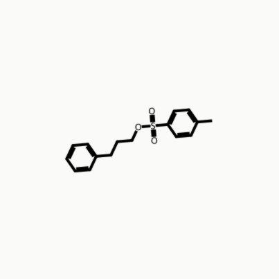 Cc1ccc(S(=O)(=O)OCCCc2ccccc2)cc1